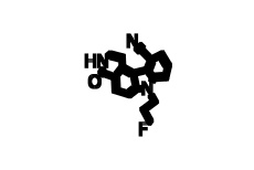 N#Cc1cccc2c1c1c3cc[nH]c(=O)c3ccc1n2CCCF